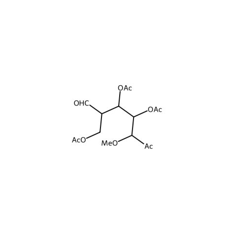 COC(C(C)=O)C(OC(C)=O)C(OC(C)=O)C(C=O)COC(C)=O